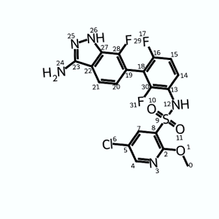 COc1ncc(Cl)cc1S(=O)(=O)Nc1ccc(F)c(-c2ccc3c(N)n[nH]c3c2F)c1F